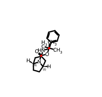 CC(C)(C)OC(=O)N1[C@@H]2CC[C@H]1CC(NCc1ccccc1)C2